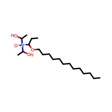 CCCCCCCCCCCCCOC(CC)[N+]([O-])(C(C)O)C(C)O